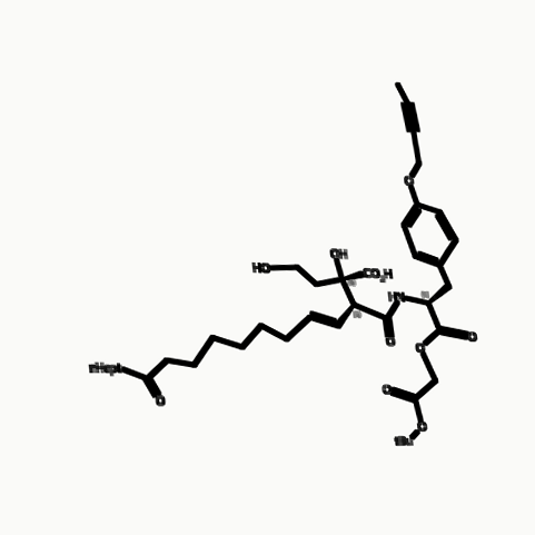 CC#CCOc1ccc(C[C@H](NC(=O)[C@@H](C=CCCCCCCC(=O)CCCCCCC)[C@@](O)(CCO)C(=O)O)C(=O)OCC(=O)OC(C)(C)C)cc1